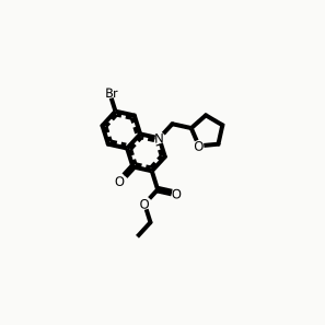 CCOC(=O)c1cn(CC2CCCO2)c2cc(Br)ccc2c1=O